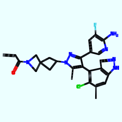 C=CC(=O)N1CC2(CC(n3nc(-c4cnc(N)c(F)c4)c(-c4c(Cl)c(C)cc5[nH]ncc45)c3C)C2)C1